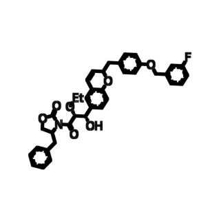 CCO[C@H](C(=O)N1C(=O)OCC1Cc1ccccc1)[C@H](O)c1ccc2c(c1)C=CC(Cc1ccc(OCc3cccc(F)c3)cc1)O2